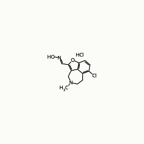 CN1CCc2c(Cl)ccc3oc(C=NO)c(c23)C1.Cl